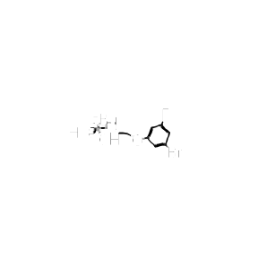 CC(C)(C)[Si](C)(C)OCCOc1cc(F)cc(Br)c1